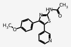 COc1ccc(-c2nc(NC(C)=O)sc2-c2cccnc2)cc1